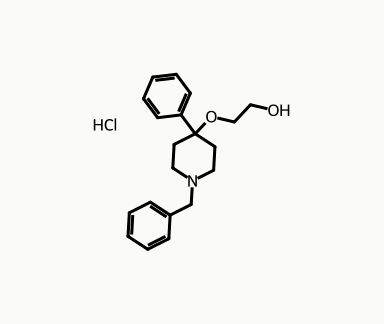 Cl.OCCOC1(c2ccccc2)CCN(Cc2ccccc2)CC1